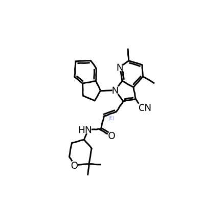 Cc1cc(C)c2c(C#N)c(/C=C/C(=O)NC3CCOC(C)(C)C3)n(C3CCc4ccccc43)c2n1